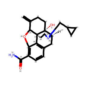 C=C1CC[C@@]2(O)[C@H]3Cc4ccc(C(N)=O)c5c4[C@@]2(CCN3CC2CC2)C1O5